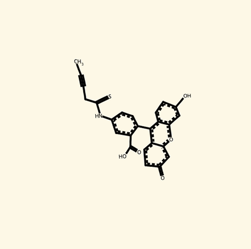 CC#CCC(=S)Nc1ccc(-c2c3ccc(=O)cc-3oc3cc(O)ccc23)c(C(=O)O)c1